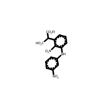 CCOC(=O)C(C(=O)O)c1cccc(Nc2cccc([N+](=O)[O-])c2)c1[N+](=O)[O-]